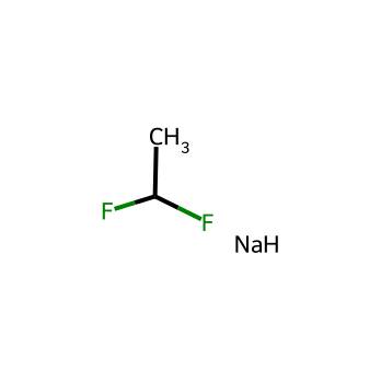 CC(F)F.[NaH]